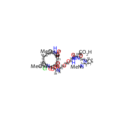 CNN(C)Cc1cc2ccccc2n1CCC(=O)N[C@@H](CCC(=O)O)C(=O)NCCOCCOCCC(=O)N(C)[C@@H](C)C(=O)O[C@H]1CC(=O)N(C)c2cc(cc(OC)c2Cl)C/C(C)=C/C=C/[C@@]2(OC)C[C@@]23C[C@H](OC(=O)N3)[C@@H](C)C2O[C@]21C